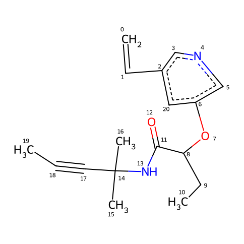 C=Cc1cncc(OC(CC)C(=O)NC(C)(C)C#CC)c1